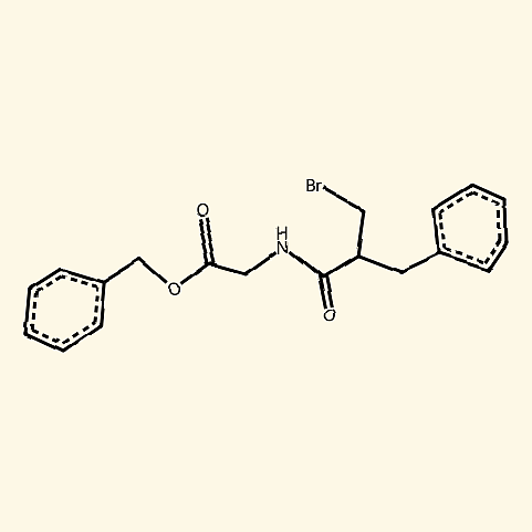 O=C(CNC(=O)C(CBr)Cc1ccccc1)OCc1ccccc1